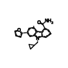 NC(=O)c1cccc2c1c1[c]cc(-c3ccco3)cc1n2CC1CC1